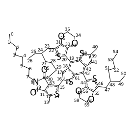 CCCCCCCCN1C(=O)c2c(C)sc(-c3cc4c(-c5sc(CC(CC)CCCC)c6c5OCCO6)c5sc(C)cc5c(-c5sc(CC(CC)CCCC)c6c5OCCO6)c4s3)c2C1=O